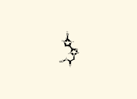 CC(C)(C)OC(=O)Cn1nnc(-c2cnc(Br)s2)n1